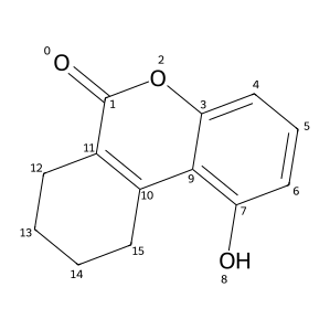 O=c1oc2cccc(O)c2c2c1CCCC2